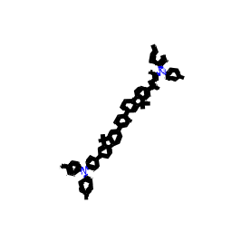 C/C=C(\C=C/CC)N(/C(C)=C/C=C(\C)c1ccc2c(c1)C(C)(C)c1cc(-c3ccc(-c4ccc5c(c4)C(C)(C)c4cc(-c6ccc(N(c7ccc(C)cc7)c7ccc(C)cc7)cc6)ccc4-5)cc3)ccc1-2)c1ccc(C)cc1